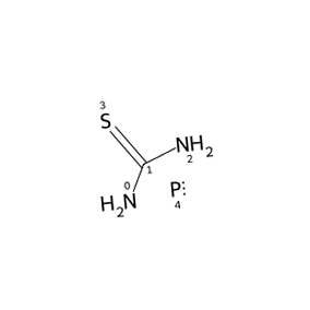 NC(N)=S.[P]